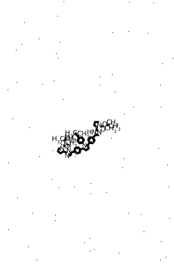 CC(C)(C)OC(=O)N1CCCC1c1ncc(-c2ccc(C3CCC(c4ccc(-c5cnc(C6CCCN6C(=O)OC(C)(C)C)[nH]5)cc4)N3c3ccc(C(C)(C)C)cc3)cc2)[nH]1